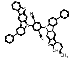 C=C/C=C\c1c(C)sc2c1=CC1c3cc(-c4ccccc4)ccc3N(c3cc(C#N)c(-n4c5ccc(-c6ccccc6)cc5c5cc6c(cc54)sc4ccccc46)cc3C#N)C1C=2